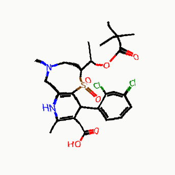 CC1=C(C(=O)O)C(c2cccc(Cl)c2Cl)C2=C(CN(C)CC(C(C)OC(=O)C(C)(C)C)S2(=O)=O)N1